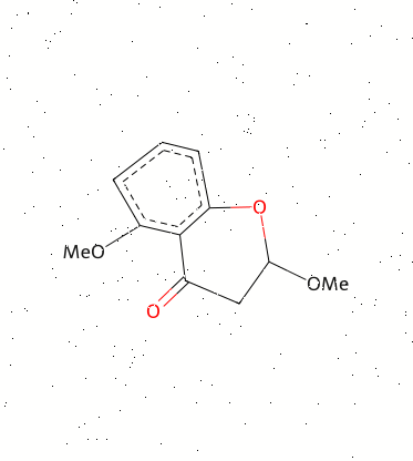 COc1cccc2c1C(=O)CC(OC)O2